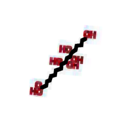 O=C(O)CCCCCCCC(O)C(O)CC(O)C(O)CCCCCO